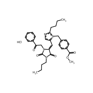 CCCCc1ncc(/C=C2/C(=O)N(CCCC)C(=O)N2CC(=O)c2ccccc2)n1Cc1ccc(C(=O)OC)cc1.Cl